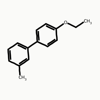 CCOc1ccc(-c2cccc(C)c2)cc1